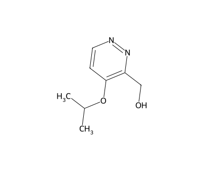 CC(C)Oc1ccnnc1CO